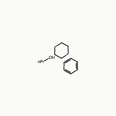 C1CCCCC1.CCCO.c1ccccc1